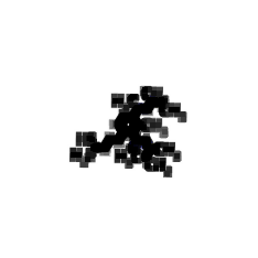 C=C/C(C)=C\C(=C/C)c1c(CCCC(P)S)ccc(/C(C)=C/C(C)=C\C)c1C